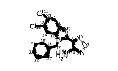 Nc1nonc1-c1nc2cc(Cl)c(Cl)cc2n1Cc1ccccc1